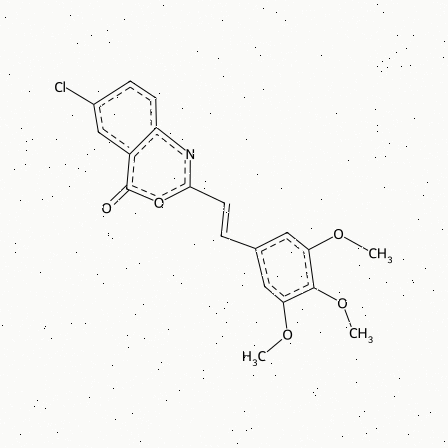 COc1cc(C=Cc2nc3ccc(Cl)cc3c(=O)o2)cc(OC)c1OC